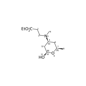 CCOC(=O)CCN(C)[C@H]1C[C@@H](C)O[C@@H](O)C1